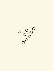 CC(C)(C)c1ccc(N2B3c4cc5nc(-c6ccccc6)oc5cc4-n4c5cc6c(cc5c5ccc(c3c54)-c3cc4oc5ccccc5c4cc32)sc2ccccc26)cc1